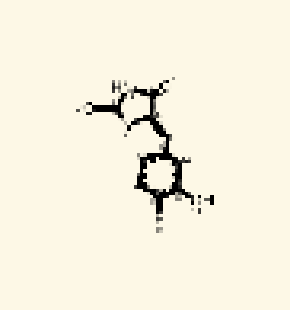 O=C1NC(=O)/C(=C/c2ccc(F)c(O)c2)S1